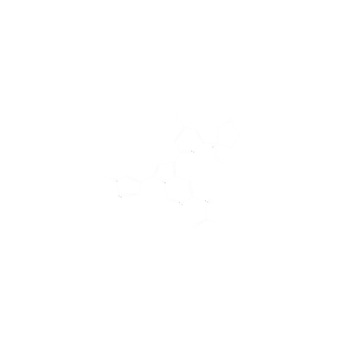 CO[C@@]1(c2cc(C)cc(-c3cc(-c4cnn(C)c4)n4cnc(NC(C)=O)cc34)n2)CCOC1